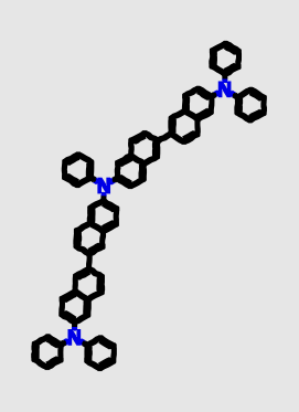 c1ccc(N(c2ccccc2)c2ccc3cc(-c4ccc5cc(N(c6ccccc6)c6ccc7cc(-c8ccc9cc(N(c%10ccccc%10)c%10ccccc%10)ccc9c8)ccc7c6)ccc5c4)ccc3c2)cc1